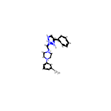 O=C(O)c1cccc(N2CCN(Cn3ncc(-c4ccccc4)n3)CC2)c1